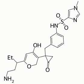 CCC(CCN)C1=CC(O)=C(C2(Cc3cccc(NS(=O)(=O)c4cn(C)cn4)c3)CC2=O)CO1